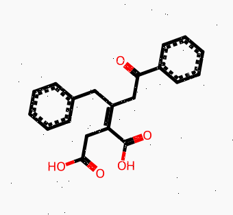 O=C(O)CC(C(=O)O)=C(CC(=O)c1ccccc1)Cc1ccccc1